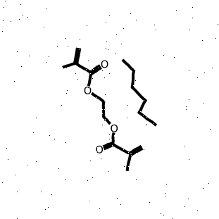 C=C(C)C(=O)OCCOC(=O)C(=C)C.CCCCCC